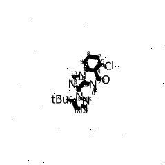 Cn1c(=O)c2c(Cl)cccc2n2cnc(-n3nncc3C(C)(C)C)c12